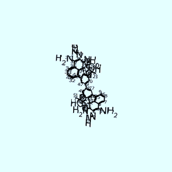 [H]/N=N/C1=C(N)c2ccccc2C(c2c(CC)cc(-c3cc(CC)c(C4(S(=O)(=O)O)c5ccccc5C(N)=C(/N=N/[H])C4N)c(CC)c3)cc2CC)(S(=O)(=O)O)C1N